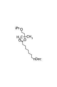 CCCCCCCCCCCCCCCCCC(=O)OC(C)(C)CCOC(C)C